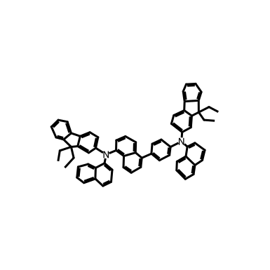 CCC1(CC)c2ccccc2-c2ccc(N(c3ccc(-c4cccc5c(N(c6ccc7c(c6)C(CC)(CC)c6ccccc6-7)c6cccc7ccccc67)cccc45)cc3)c3cccc4ccccc34)cc21